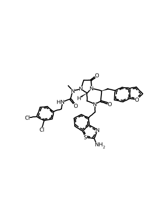 CN(C(=O)NCc1ccc(Cl)c(Cl)c1)N1CC(=O)N2[C@@H](Cc3ccc4occc4c3)C(=O)N(Cc3cccc4sc(N)nc34)C[C@@H]21